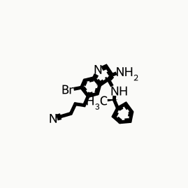 C[C@@H](Nc1c(N)cnc2cc(Br)c(CCCC#N)cc12)c1ccccc1